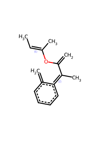 C=C(O/C(C)=C/C)/C(C)=c1/ccccc1=C